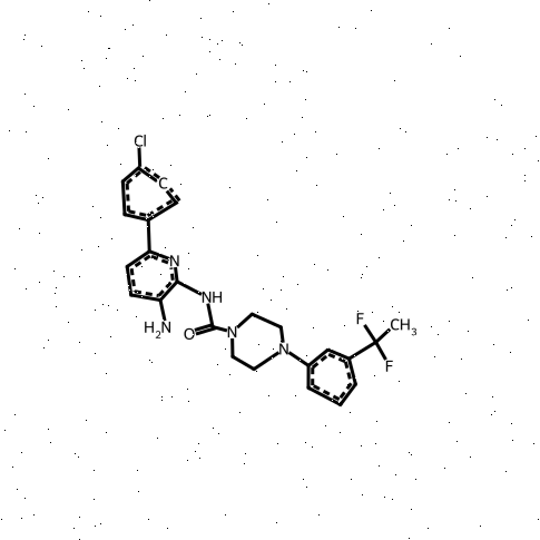 CC(F)(F)c1cccc(N2CCN(C(=O)Nc3nc(-c4ccc(Cl)cc4)ccc3N)CC2)c1